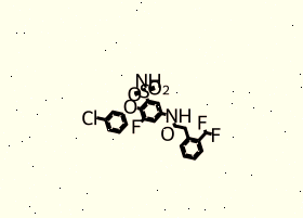 NS(=O)(=O)c1cc(NC(=O)Cc2ccccc2C(F)F)cc(F)c1Oc1cccc(Cl)c1